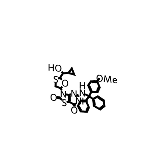 COc1ccc(C(Nc2nc3c(sc(=O)n3C3CSC(C(O)C4CC4)O3)c(=O)[nH]2)(c2ccccc2)c2ccccc2)cc1